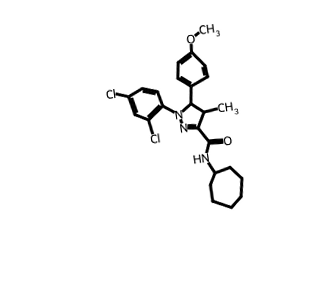 COc1ccc(C2C(C)C(C(=O)NC3CCCCCC3)=NN2c2ccc(Cl)cc2Cl)cc1